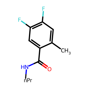 CCCNC(=O)c1cc(F)c(F)cc1C